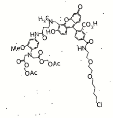 COc1cc(NC(=O)CCN(C)Cc2c(O)ccc3c(-c4ccc(C(=O)NCCOCCOCCCCCCCl)cc4C(=O)O)c4ccc(=O)cc-4oc23)ccc1N(CC(=O)OCOC(C)=O)CC(=O)OCOC(C)=O